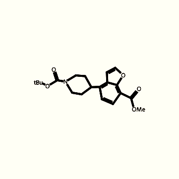 COC(=O)c1ccc(C2CCN(C(=O)OC(C)(C)C)CC2)c2ccoc12